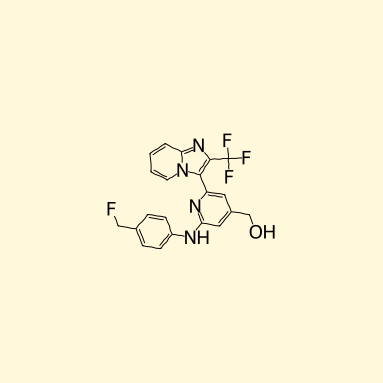 OCc1cc(Nc2ccc(CF)cc2)nc(-c2c(C(F)(F)F)nc3ccccn23)c1